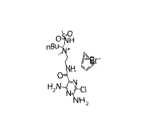 CCCCC(NS(C)(=O)=O)[N+](C)(C)CCNC(=O)c1nc(Cl)c(N)nc1N.[Br-].c1cc2cc-2c1